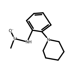 C[S+]([O-])Nc1ccccc1N1CCCCC1